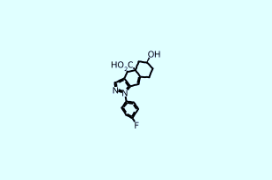 O=C(O)[C@]12Cc3cnn(-c4ccc(F)cc4)c3C=C1CC[C@H](O)C2